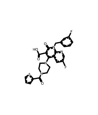 O=C(O)c1c(N2CCN(C(=O)c3cccs3)CC2)c2cc(F)cnc2n(Cc2cccc(F)c2)c1=O